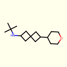 CC(C)(C)NC1CC2(C1)CC(C1CCOCC1)C2